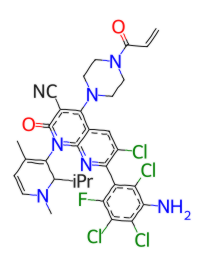 C=CC(=O)N1CCN(c2c(C#N)c(=O)n(C3=C(C)C=CN(C)C3C(C)C)c3nc(-c4c(F)c(Cl)c(Cl)c(N)c4Cl)c(Cl)cc23)CC1